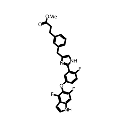 COC(=O)CCc1cccc(Cc2c[nH]c(-c3cc(Oc4c(F)cc5[nH]ccc5c4F)ccc3F)n2)c1